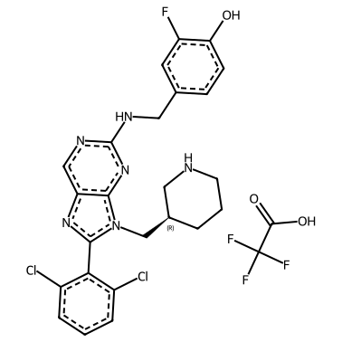 O=C(O)C(F)(F)F.Oc1ccc(CNc2ncc3nc(-c4c(Cl)cccc4Cl)n(C[C@@H]4CCCNC4)c3n2)cc1F